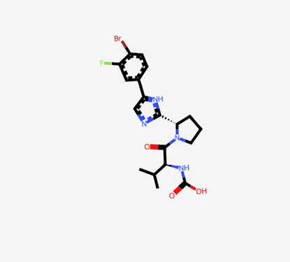 CC(C)[C@H](NC(=O)O)C(=O)N1CCC[C@H]1c1ncc(-c2ccc(Br)c(F)c2)[nH]1